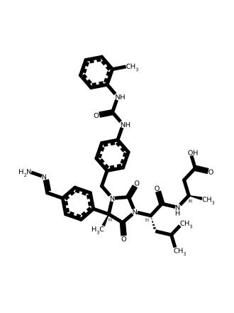 Cc1ccccc1NC(=O)Nc1ccc(CN2C(=O)N([C@@H](CC(C)C)C(=O)N[C@H](C)CC(=O)O)C(=O)[C@]2(C)c2ccc(C=NN)cc2)cc1